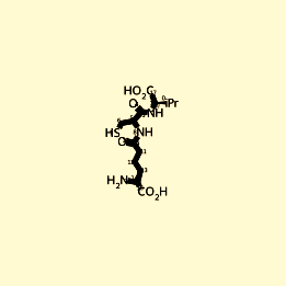 CC(C)[C@@H](NC(=O)C(CS)NC(=O)CCCC(N)C(=O)O)C(=O)O